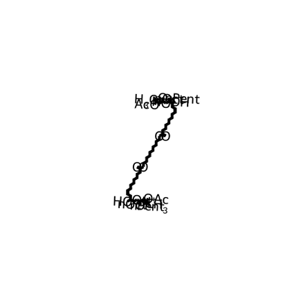 CCCCCCCC[N+](C)(CC(=O)OC(CCCCC)C(O)C/C=C\CCCCCCCC(=O)OCCCCCCCCCCOC(=O)CCCCCCC/C=C\CC(O)C(CCCCC)OC(=O)C[N+](C)(CCCCCCCC)OC(C)=O)OC(C)=O